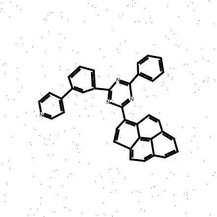 c1ccc(-c2nc(-c3cccc(-c4ccncc4)c3)nc(-c3ccc4ccc5cccc6ccc3c4c56)n2)cc1